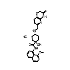 COc1nccc2cccc(NC(=O)[C@]3(O)CC[C@H](NCc4ccc5c(n4)NC(=O)CS5)CC3)c12.Cl